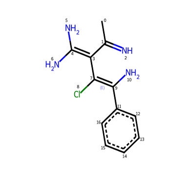 CC(=N)C(=C(N)N)/C(Cl)=C(\N)c1ccccc1